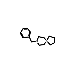 c1ccc(CN2CCS3(CCCC3)CC2)cc1